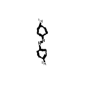 [2H]c1ccc(N=Nc2ccc([2H])cc2)cc1